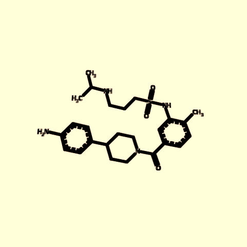 Cc1ccc(C(=O)N2CCC(c3ccc(N)cc3)CC2)cc1NS(=O)(=O)CCCNC(C)C